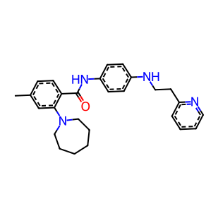 Cc1ccc(C(=O)Nc2ccc(NCCc3ccccn3)cc2)c(N2CCCCCC2)c1